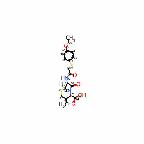 C=C1CS[C@H]2C(NC(=O)CSc3ccc(OCC)cc3)C(=O)N2C1C(=O)O